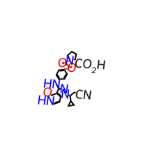 N#CCC(C1CC1)n1nc(Nc2ccc(S(=O)(=O)N3CCC[C@@H]3C(=O)O)cc2)c2c(=O)[nH]ccc21